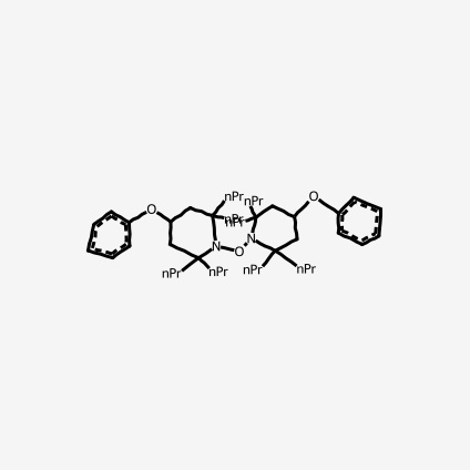 CCCC1(CCC)CC(Oc2ccccc2)CC(CCC)(CCC)N1ON1C(CCC)(CCC)CC(Oc2ccccc2)CC1(CCC)CCC